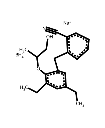 CCc1cc(CC)c(OC(C)CO)c(Cc2ccccc2C#N)c1.[BH4-].[Na+]